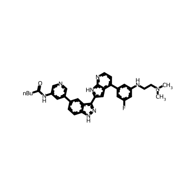 CCCCC(=O)Nc1cncc(-c2ccc3[nH]nc(-c4cc5c(-c6cc(F)cc(NCCN(C)C)c6)ccnc5[nH]4)c3c2)c1